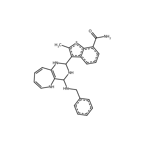 Cc1sc2c(C(N)=O)cccc2c1C1NC2=C(NC=CC=C2)C(NCc2ccccc2)N1